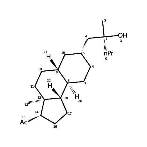 CCC[C@](C)(O)C[C@@H]1CC[C@@H]2[C@H](CC[C@]3(C)[C@@H](C(C)=O)CC[C@@H]23)C1